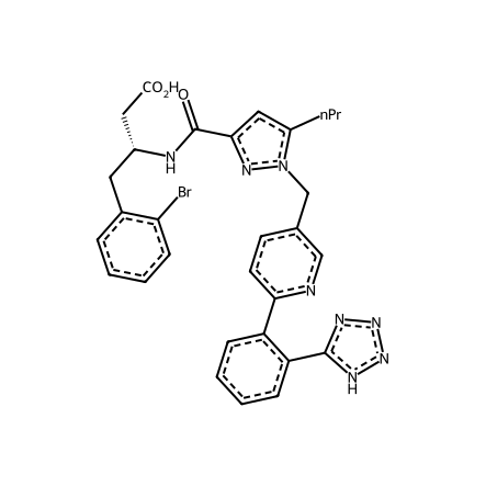 CCCc1cc(C(=O)N[C@@H](CC(=O)O)Cc2ccccc2Br)nn1Cc1ccc(-c2ccccc2-c2nnn[nH]2)nc1